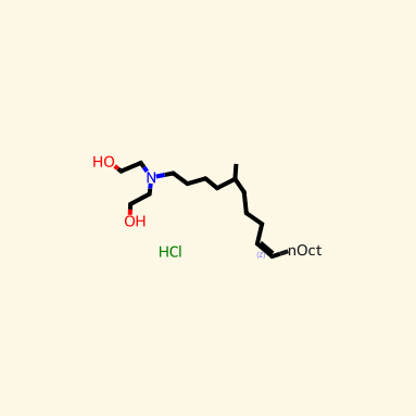 CCCCCCCC/C=C\CCCC(C)CCCCN(CCO)CCO.Cl